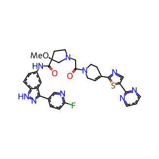 CO[C@@]1(C(=O)Nc2ccc3[nH]nc(-c4ccc(F)nc4)c3c2)CCN(CC(=O)N2CC=C(c3ncc(-c4ncccn4)s3)CC2)C1